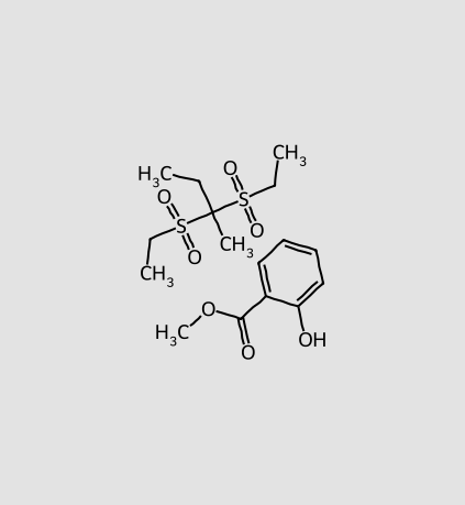 CCC(C)(S(=O)(=O)CC)S(=O)(=O)CC.COC(=O)c1ccccc1O